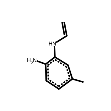 C=CNc1cc(C)ccc1N